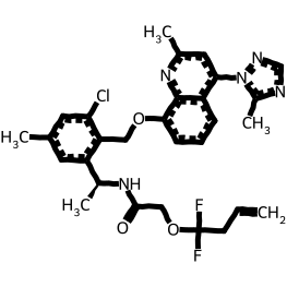 C=CCC(F)(F)OCC(=O)N[C@@H](C)c1cc(C)cc(Cl)c1COc1cccc2c(-n3ncnc3C)cc(C)nc12